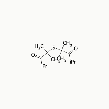 CC(C)C(=O)C(C)(C)SC(C)(C)C(=O)C(C)C